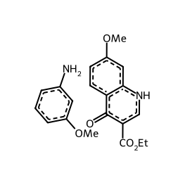 CCOC(=O)c1c[nH]c2cc(OC)ccc2c1=O.COc1cccc(N)c1